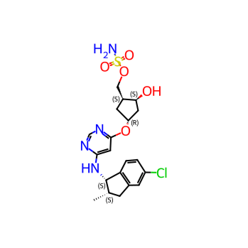 C[C@H]1Cc2cc(Cl)ccc2[C@H]1Nc1cc(O[C@@H]2C[C@@H](COS(N)(=O)=O)[C@@H](O)C2)ncn1